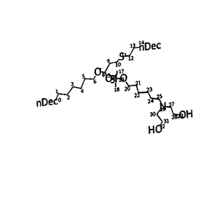 CCCCCCCCCCCCCCCCOC(CCSCCCCCCCCCCCC)O[Si](C)(C)OCCCCCCN(CCO)CCO